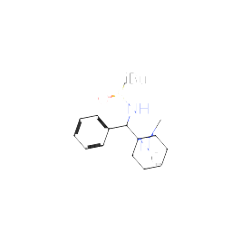 CCC(C)[S+]([O-])NC(c1ccccc1)C12CCC(CC1)CN2C